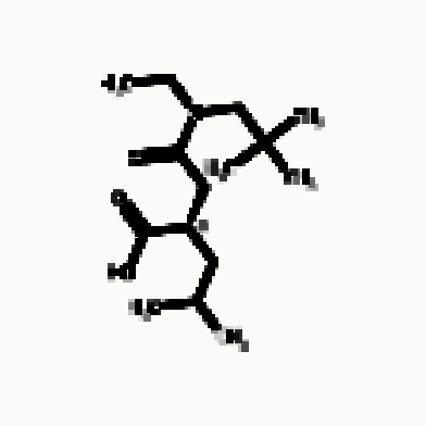 CCN(CC(C)(C)C)C(=O)C[C@@H](CC(C)C)C(=O)O